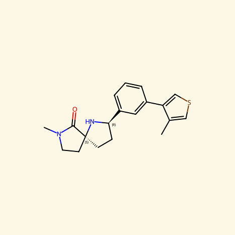 Cc1cscc1-c1cccc([C@H]2CC[C@@]3(CCN(C)C3=O)N2)c1